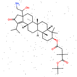 CC(C)C1=C2[C@H]3CC[C@@H]4[C@@]5(C)CC[C@H](OC(=O)CC(C)(C)C(=O)OC(C)(C)C)C(C)(C)[C@H]5CC[C@@]4(C)[C@]3(C)CCC2(C(O)CN)CC1=O